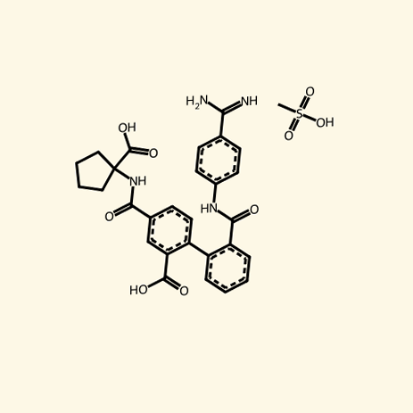 CS(=O)(=O)O.N=C(N)c1ccc(NC(=O)c2ccccc2-c2ccc(C(=O)NC3(C(=O)O)CCCC3)cc2C(=O)O)cc1